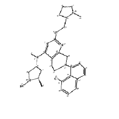 C[C@@H]1C[C@@H](N(C)c2nc(OCC3CCCN3C)nc3c2CCN(c2cccc4cccc(Cl)c24)C3)CN1C#N